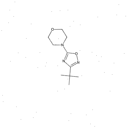 CC(C)(C)c1noc(N2CCOCC2)n1